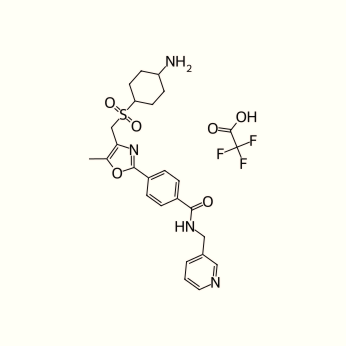 Cc1oc(-c2ccc(C(=O)NCc3cccnc3)cc2)nc1CS(=O)(=O)C1CCC(N)CC1.O=C(O)C(F)(F)F